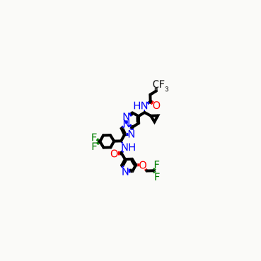 O=C(CCC(F)(F)F)N[C@@H](c1cnn2cc([C@@H](NC(=O)c3cncc(OCC(F)F)c3)C3CCC(F)(F)CC3)nc2c1)C1CC1